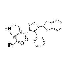 CC(C)C(=O)[C@@H]1CNCCN1C(=O)c1ncn(C2Cc3ccccc3C2)c1-c1ccccc1